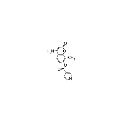 Cc1c(OC(=O)c2ccncc2)ccc2c(N)cc(=O)oc12